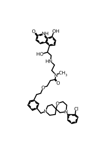 CN(CCNCC(O)c1ccc(O)c2[nH]c(=O)ccc12)C(=O)CCOCCc1cccc(CN2CCC3(CC2)CN(c2ccccc2Cl)CCO3)c1